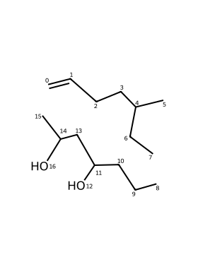 C=CCCC(C)CC.CCCC(O)CC(C)O